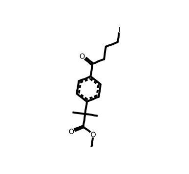 COC(=O)C(C)(C)c1ccc(C(=O)CCCI)cc1